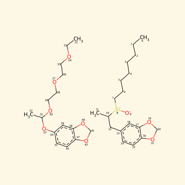 CCCCCCCC[S+]([O-])C(C)Cc1ccc2c(c1)OCO2.CCOCCOCCOC(C)Oc1ccc2c(c1)OCO2